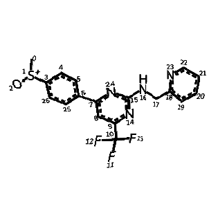 C[S+]([O-])c1ccc(-c2cc(C(F)(F)F)nc(NCc3ccccn3)n2)cc1